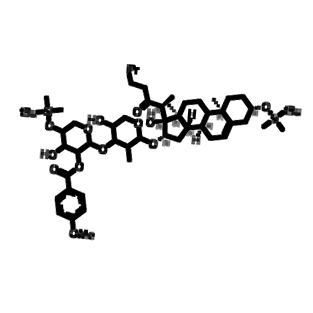 COc1ccc(C(=O)OC2C(OC3C(O)COC(O[C@H]4C[C@H]5[C@@H]6CC=C7C[C@@H](O[Si](C)(C)C(C)(C)C)CC[C@]7(C)C6CC[C@]5(C)[C@@]4(O)[C@H](C)C(=O)CCC(C)C)C3C)OCC(O[Si](C)(C)C(C)(C)C)C2O)cc1